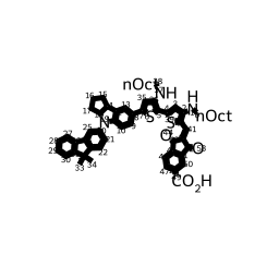 CCCCCCCCNc1cc(-c2sc(-c3ccc4c(c3)C3CCCC3N4c3ccc4c(c3)-c3ccccc3C4(C)C)cc2NCCCCCCCC)sc1/C=C1\C(=O)c2ccc(C(=O)O)cc2C1=O